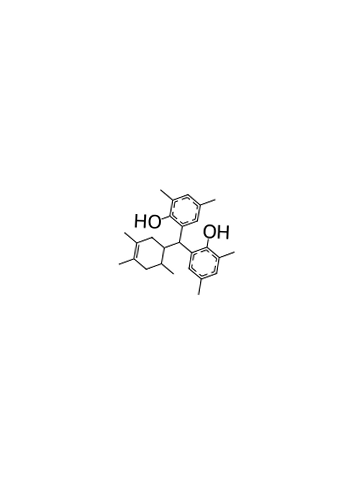 CC1=C(C)CC(C(c2cc(C)cc(C)c2O)c2cc(C)cc(C)c2O)C(C)C1